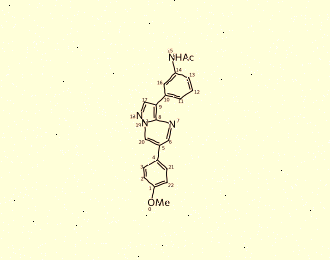 COc1ccc(-c2cnc3c(-c4cccc(NC(C)=O)c4)cnn3c2)cc1